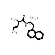 CC=CC(C)C(=O)N[C@@H](Cc1cccc2ccccc12)C(=O)O